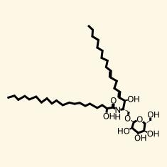 CCCCCCCCCC=CCC/C=C/[C@@H](O)[C@H](CO[C@@H]1O[C@H](CO)[C@@H](O)[C@H](O)[C@H]1O)NC(=O)C(O)CCCCCCCCCCCCCCCCCC